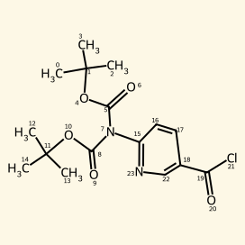 CC(C)(C)OC(=O)N(C(=O)OC(C)(C)C)c1ccc(C(=O)Cl)cn1